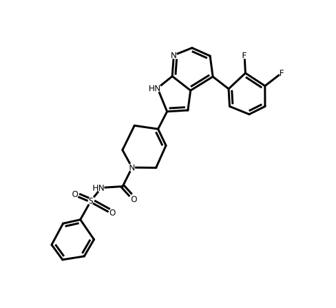 O=C(NS(=O)(=O)c1ccccc1)N1CC=C(c2cc3c(-c4cccc(F)c4F)ccnc3[nH]2)CC1